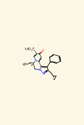 CC(C)(C)[C@@H]1Cn2nc(C3CC3)c(-c3ccccc3)c2-c2cc(=O)c(C(=O)O)cn21